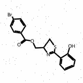 O=C(OCC1CSC(c2ccccc2O)=N1)c1ccc(Br)cc1